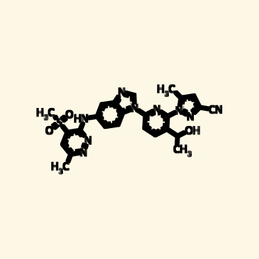 Cc1cc(S(C)(=O)=O)c(Nc2ccc3c(c2)ncn3-c2ccc(C(C)O)c(-n3nc(C#N)cc3C)n2)nn1